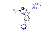 CSNCCc1cn(CC(C)C)c2cc(-c3ccncc3)ccc12